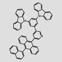 c1ccc2c(-c3c4ccccc4c(-c4cncc(-c5cc(-n6c7ccccc7c7ccccc76)cc(-n6c7ccccc7c7ccccc76)c5)c4)c4ccccc34)cccc2c1